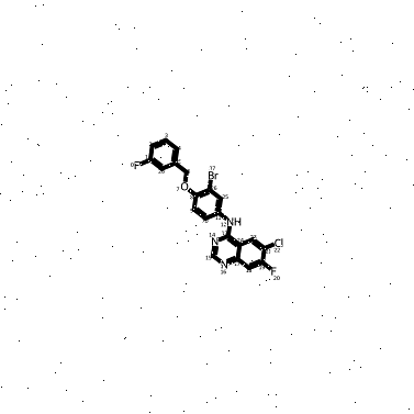 Fc1cccc(COc2ccc(Nc3ncnc4cc(F)c(Cl)cc34)cc2Br)c1